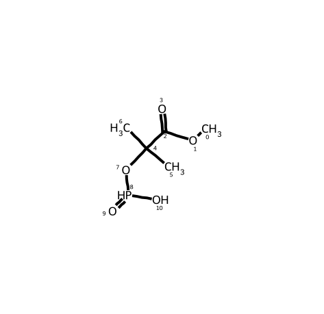 COC(=O)C(C)(C)O[PH](=O)O